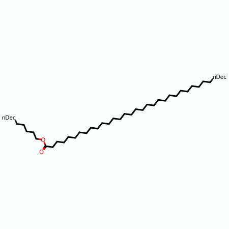 CCCCCCCCCCCCCCCCCCCCCCCCCCCCCCCCCCCCCCCC(=O)OCCCCCCCCCCCCCCC